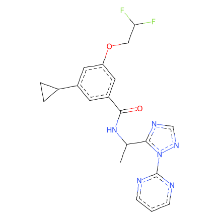 CC(NC(=O)c1cc(OCC(F)F)cc(C2CC2)c1)c1ncnn1-c1ncccn1